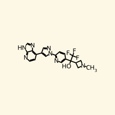 CN1CC(C(O)(c2ccc(-n3cc(-c4ccnc5[nH]cnc45)cn3)nc2)C(F)(F)F)C1